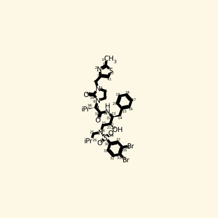 Cc1nc(CN2CCN([C@H](C(=O)N[C@@H](Cc3ccccc3)[C@H](O)CN(CC(C)C)S(=O)(=O)c3ccc(Br)c(Br)c3)C(C)C)C2=O)cs1